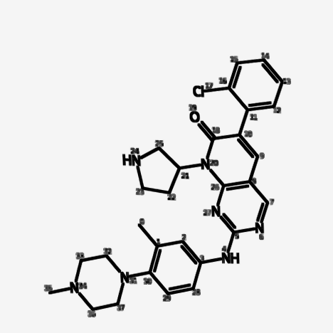 Cc1cc(Nc2ncc3cc(-c4ccccc4Cl)c(=O)n(C4CCNC4)c3n2)ccc1N1CCN(C)CC1